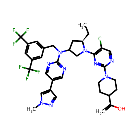 C=C(O)C1CCN(c2ncc(Cl)c(N3CC(N(Cc4cc(C(F)(F)F)cc(C(F)(F)F)c4)c4ncc(-c5cnn(C)c5)cn4)C[C@H]3CC)n2)CC1